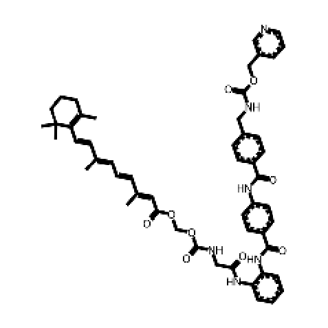 CC1=C(/C=C/C(C)=C/C=C/C(C)=C/C(=O)OCOC(=O)NCC(=O)Nc2ccccc2NC(=O)c2ccc(NC(=O)c3ccc(CNC(=O)OCc4cccnc4)cc3)cc2)C(C)(C)CCC1